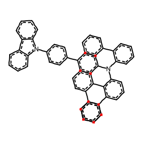 c1ccc(-c2ccccc2-c2c(-c3ccccc3)cccc2N(c2ccc(-c3ccc(-n4c5ccccc5c5ccccc54)cc3)cc2)c2ccccc2-c2ccccc2)cc1